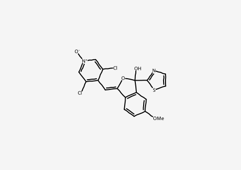 COc1ccc2c(c1)C(O)(c1nccs1)OC2=Cc1c(Cl)c[n+]([O-])cc1Cl